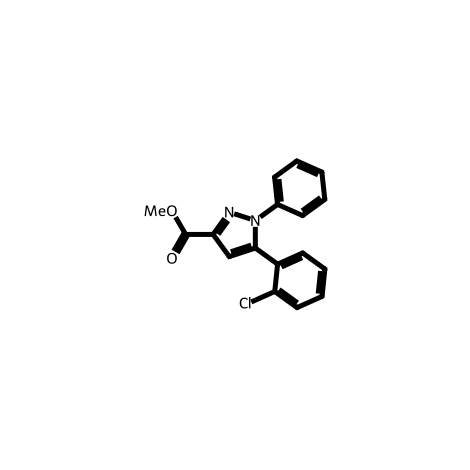 COC(=O)c1cc(-c2ccccc2Cl)n(-c2ccccc2)n1